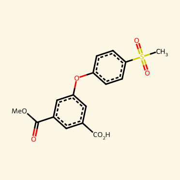 COC(=O)c1cc(Oc2ccc(S(C)(=O)=O)cc2)cc(C(=O)O)c1